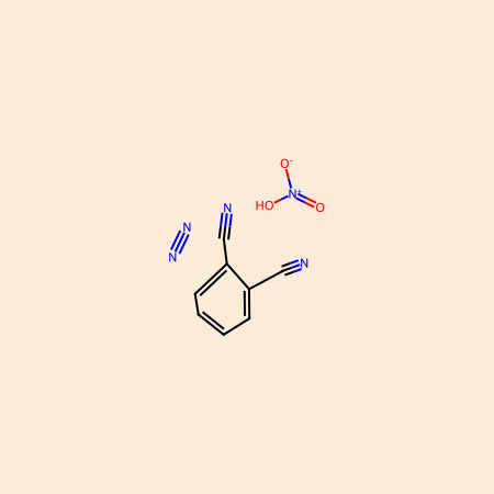 N#Cc1ccccc1C#N.N#N.O=[N+]([O-])O